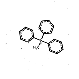 C[PH](c1ccccc1)(c1ccccc1)c1ccccn1